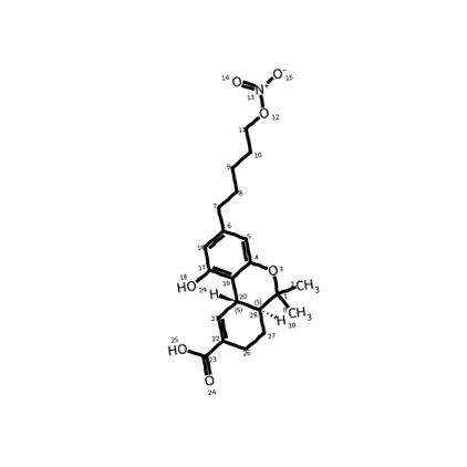 CC1(C)Oc2cc(CCCCCO[N+](=O)[O-])cc(O)c2[C@H]2C=C(C(=O)O)CC[C@@H]21